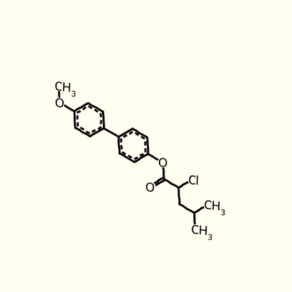 COc1ccc(-c2ccc(OC(=O)C(Cl)CC(C)C)cc2)cc1